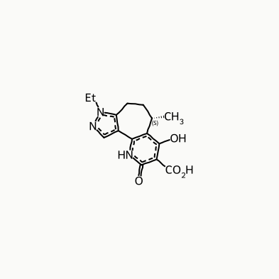 CCn1ncc2c1CC[C@H](C)c1c-2[nH]c(=O)c(C(=O)O)c1O